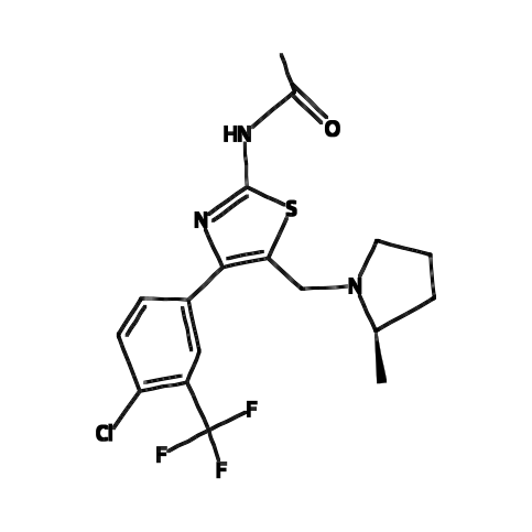 CC(=O)Nc1nc(-c2ccc(Cl)c(C(F)(F)F)c2)c(CN2CCC[C@H]2C)s1